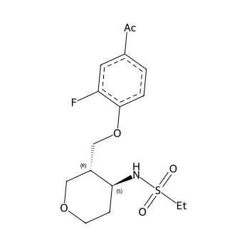 CCS(=O)(=O)N[C@H]1CCOC[C@@H]1COc1ccc(C(C)=O)cc1F